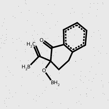 BOC1(C(B)=C)CCc2ccccc2C1=O